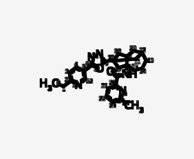 CCc1ccc(-c2nnc(C34CC5CCCC(NC(=O)c6cccc(C)n6)(C3)C(C5)C4)o2)cn1